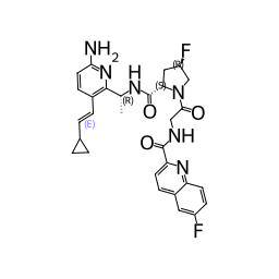 C[C@@H](NC(=O)[C@@H]1C[C@@H](F)CN1C(=O)CNC(=O)c1ccc2cc(F)ccc2n1)c1nc(N)ccc1/C=C/C1CC1